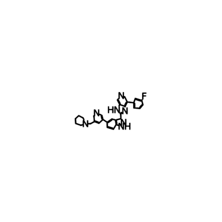 Fc1cccc(-c2cncc3[nH]c(-c4n[nH]c5ccc(-c6cncc(CN7CCCCC7)c6)cc45)nc23)c1